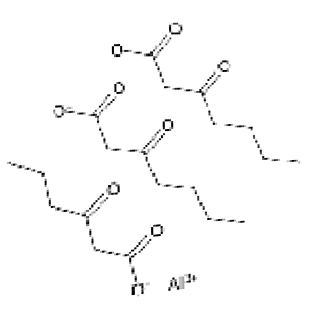 CCCC(=O)CC(=O)[O-].CCCCC(=O)CC(=O)[O-].CCCCC(=O)CC(=O)[O-].[Al+3]